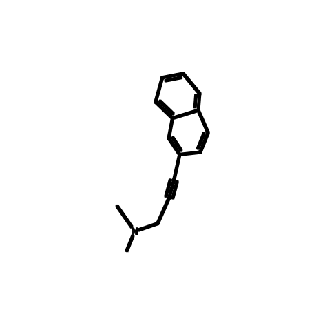 CN(C)CC#Cc1ccc2ccccc2c1